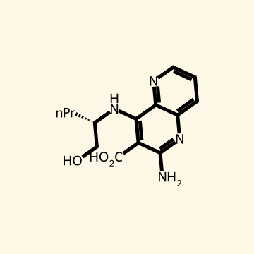 CCC[C@@H](CO)Nc1c(C(=O)O)c(N)nc2cccnc12